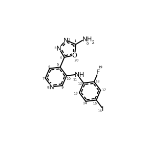 Nc1nnc(-c2ccncc2Nc2ccc(I)cc2F)o1